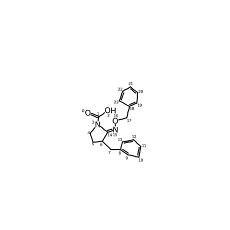 O=C(O)N1CCC(Cc2ccccc2)C1=NOCc1ccccc1